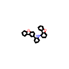 c1ccc(-c2ccc3oc4ccccc4c3c2)c(Nc2cccc3oc4ccccc4c23)c1